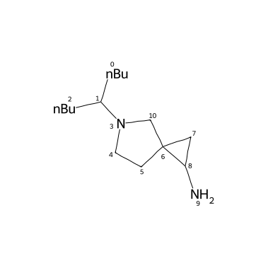 CCCCC(CCCC)N1CCC2(CC2N)C1